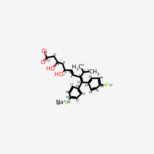 CC(C)C(C=CC(O)CC(O)CC(=O)[O-])=C(c1ccc(F)cc1)c1ccc(F)cc1.[Na+]